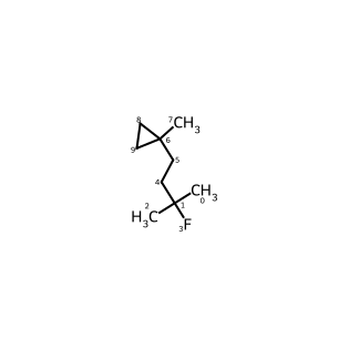 CC(C)(F)CCC1(C)CC1